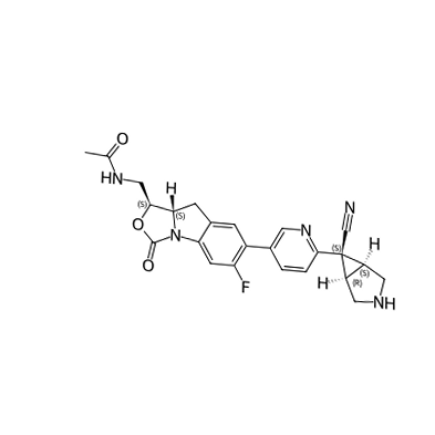 CC(=O)NC[C@@H]1OC(=O)N2c3cc(F)c(-c4ccc([C@@]5(C#N)[C@@H]6CNC[C@@H]65)nc4)cc3C[C@@H]12